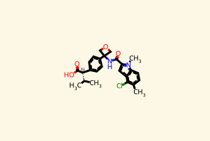 Cc1ccc2c(cc(C(=O)NC3(c4ccc([C@@H](C(=O)O)C(C)C)cc4)COC3)n2C)c1Cl